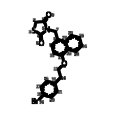 O=C1CSC(=O)N1Cc1ccc(OCCc2ccc(Br)cc2)c2ccccc12